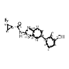 Cc1c(O)cccc1-c1ccc2nc(NC(=O)[C@@H]3C[C@@H]3F)sc2c1